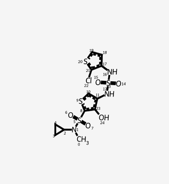 CN(C1CC1)S(=O)(=O)c1scc(NS(=O)(=O)Nc2ccsc2Cl)c1O